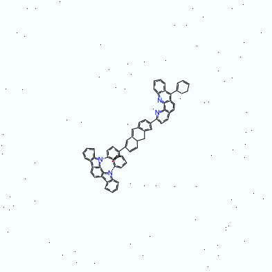 C1=CCCC(c2c3ccccc3nc3c2ccc2ccc(-c4ccc5c(c4)CC4C=CC(c6ccc(-n7c8ccccc8c8ccc9c%10ccccc%10n(-c%10ccccc%10)c9c87)cc6)=CC4=C5)nc23)=C1